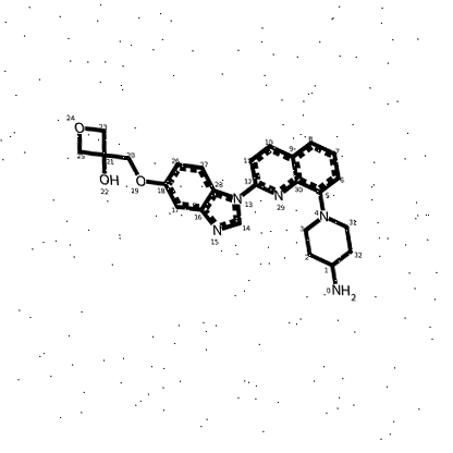 NC1CCN(c2cccc3ccc(-n4cnc5cc(OCC6(O)COC6)ccc54)nc23)CC1